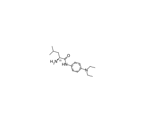 CCN(CC)c1ccc(NC(=O)[C@@H](N)CC(C)C)cc1